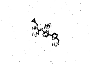 Cl.Cl.NCc1ccc(-c2csc(/N=C(\N)NCC3CC3)n2)o1